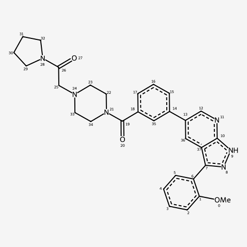 COc1ccccc1-c1n[nH]c2ncc(-c3cccc(C(=O)N4CCN(CC(=O)N5CCCC5)CC4)c3)cc12